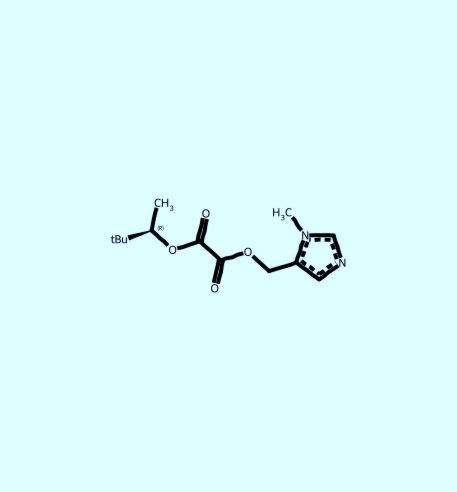 C[C@@H](OC(=O)C(=O)OCc1cncn1C)C(C)(C)C